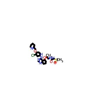 C[C@@H](CNC(=O)C[S+](C)[O-])Oc1cccc2ncnc(Nc3ccc(OCc4ccccn4)c(Cl)c3)c12